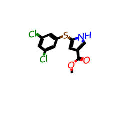 COC(=O)c1c[nH]c(Sc2cc(Cl)cc(Cl)c2)c1